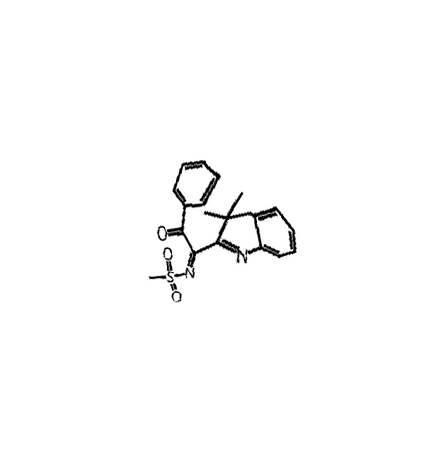 CC1(C)C(/C(=N/S(C)(=O)=O)C(=O)c2ccccc2)=Nc2ccccc21